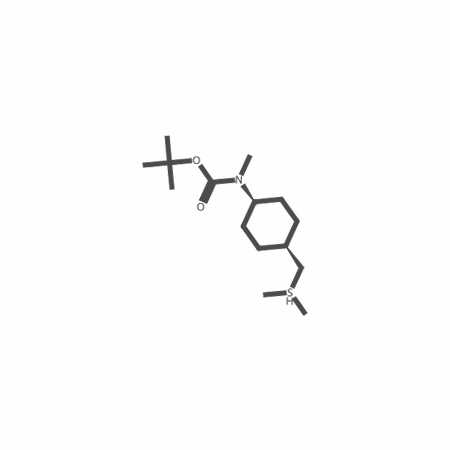 CN(C(=O)OC(C)(C)C)[C@H]1CC[C@@H](C[SH](C)C)CC1